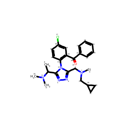 CCN(Cc1nnc(C(C)N(C)C)n1-c1ccc(Cl)cc1C(=O)c1ccccc1)CC1CC1